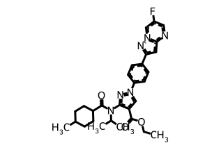 CCOC(=O)c1cn(-c2ccc(-c3cc4ncc(F)cn4n3)cc2)nc1N(C(=O)C1CCC(C)CC1)C(C)C